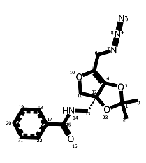 CC1(C)OC2=C(CN=[N+]=[N-])OC[C@]2(CNC(=O)c2ccccc2)O1